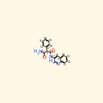 NC(=O)C(C(=O)Nc1cnc2ccccc2c1)c1ccccc1